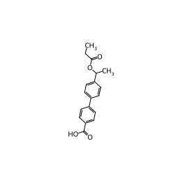 CCC(=O)OC(C)c1ccc(-c2ccc(C(=O)O)cc2)cc1